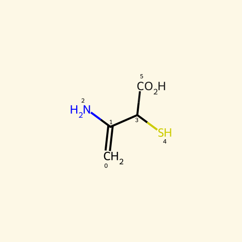 C=C(N)C(S)C(=O)O